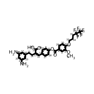 COc1cc(C(=O)Oc2ccc(C=C(CCc3cc(N)cc(N)c3)C(=O)O)cc2)ccc1OCCCC(F)(F)C(F)(F)F